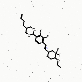 C=CCCC1COC(c2ccc(/C=C/C3CCC(OCC)C(F)(F)C3)c(F)c2F)OC1